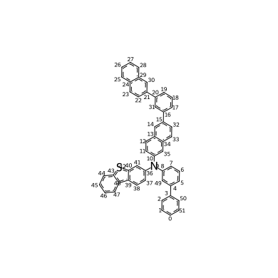 c1ccc(-c2cccc(N(c3ccc4cc(-c5cccc(-c6ccc7ccccc7c6)c5)ccc4c3)c3ccc4c(c3)sc3ccccc34)c2)cc1